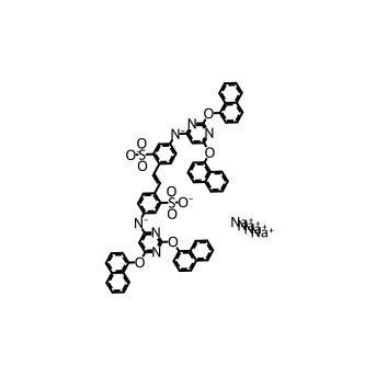 O=S(=O)([O-])c1cc([N-]c2cc(Oc3cccc4ccccc34)nc(Oc3cccc4ccccc34)n2)ccc1C=Cc1ccc([N-]c2cc(Oc3cccc4ccccc34)nc(Oc3cccc4ccccc34)n2)cc1S(=O)(=O)[O-].[Na+].[Na+].[Na+].[Na+]